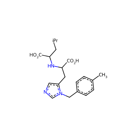 Cc1ccc(Cn2cncc2CC(NC(CC(C)C)C(=O)O)C(=O)O)cc1